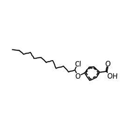 CCCCCCCCCCCC(Cl)Oc1ccc(C(=O)O)cc1